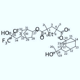 CCC(C)(CC(C)(C)C(=O)OC12CC3CC(C1)CC(C(C)(C)O)(C3)C2)C(=O)OC1CC2CC1CC2CC(O)(C(F)(F)F)C(F)(F)F